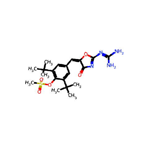 CC(C)(C)c1cc(C=C2OC(N=C(N)N)=NC2=O)cc(C(C)(C)C)c1OS(C)(=O)=O